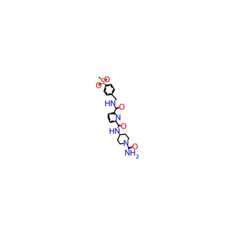 CS(=O)(=O)c1ccc(CNC(=O)c2cccc(C(=O)NC3CCN(C(N)=O)CC3)n2)cc1